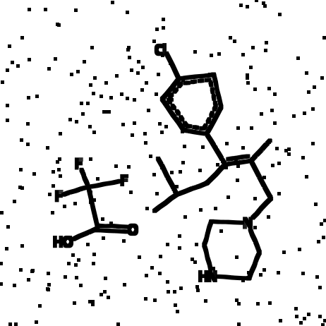 CC(CN1CCNCC1)=C(CC(C)C)c1ccc(Cl)cc1.O=C(O)C(F)(F)F